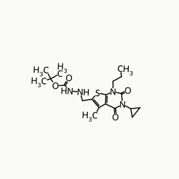 CCCn1c(=O)n(C2CC2)c(=O)c2c(C)c(CNNC(=O)OC(C)(C)C)sc21